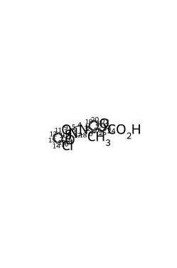 Cc1c(N2CCN(S(=O)(=O)c3ccccc3Cl)CC2)ccc2oc(C(=O)O)cc12